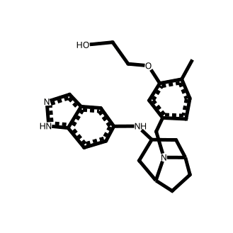 Cc1ccc(CN2C3CCC2CC(Nc2ccc4[nH]ncc4c2)C3)cc1OCCO